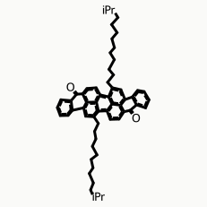 CC(C)CCCCCCCCCCc1cc2c3c(ccc4c5c(CCCCCCCCCCC(C)C)cc6c7c(ccc(c1c34)c75)C(=O)c1ccccc1-6)C(=O)c1ccccc1-2